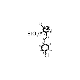 CCOC(=O)c1c(CCc2ccc(Cl)cc2)noc1C